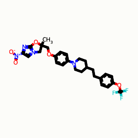 CC1(COc2ccc(N3CCC(CCc4ccc(OC(F)(F)F)cc4)CC3)cc2)Cn2cc([N+](=O)[O-])nc2O1